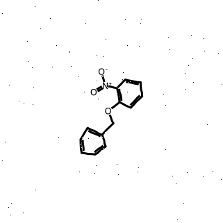 O=[N+]([O-])c1[c]cccc1OCc1ccccc1